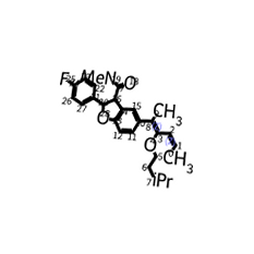 C/C=C\C(OCCC(C)C)=C(/C)c1ccc2c(c1)C(C(=O)NC)C(c1ccc(F)cc1)O2